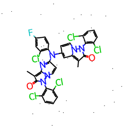 Cc1c(=O)n(-c2c(Cl)cccc2Cl)n2ccc(N(c3ccn4c(n3)c(C)c(=O)n4-c3c(Cl)cccc3Cl)c3ccc(F)cc3Cl)cc12